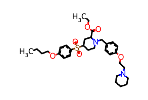 CCCCOc1ccc(S(=O)(=O)C2CCN(Cc3ccc(OCCN4CCCCC4)cc3)C(C(=O)OCC)C2)cc1